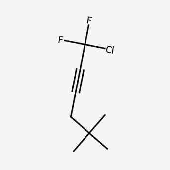 CC(C)(C)CC#CC(F)(F)Cl